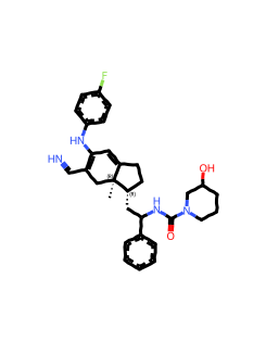 C[C@]12CC(C=N)=C(Nc3ccc(F)cc3)C=C1CC[C@@H]2CC(NC(=O)N1CCCC(O)C1)c1ccccc1